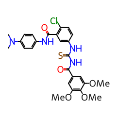 COc1cc(C(=O)NC(=S)Nc2ccc(Cl)c(C(=O)Nc3ccc(N(C)C)cc3)c2)cc(OC)c1OC